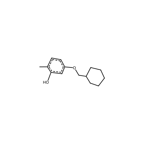 Cc1ccc(OCC2CCCCC2)cc1O